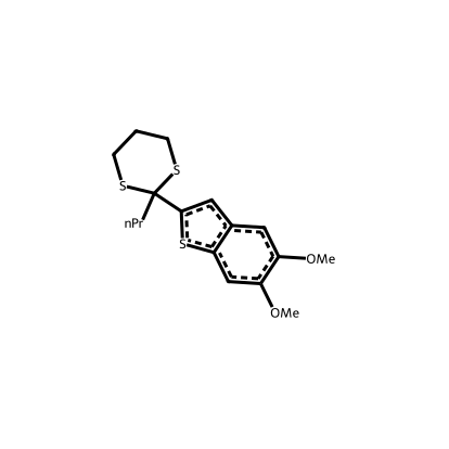 CCCC1(c2cc3cc(OC)c(OC)cc3s2)SCCCS1